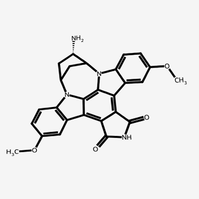 COc1ccc2c(c1)c1c3c(c4c5cc(OC)ccc5n5c4c1n2C1CC5[C@@H](N)C1)C(=O)NC3=O